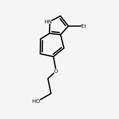 CCc1c[nH]c2ccc(OCCO)cc12